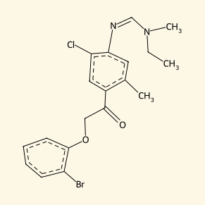 CCN(C)/C=N\c1cc(C)c(C(=O)COc2ccccc2Br)cc1Cl